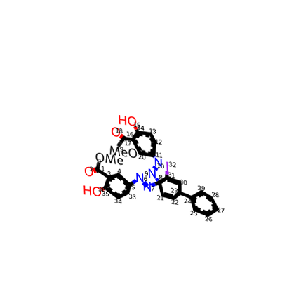 COC(=O)c1cc(/N=N/C2(/N=N/c3ccc(O)c(C(=O)OC)c3)C=CC(c3ccccc3)C=C2I)ccc1O